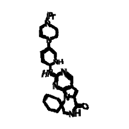 CC(C)N1CCN(C2CCC(Nc3ncc4cc5n(c4n3)C3(CCCCC3)CNC5=O)NC2)CC1